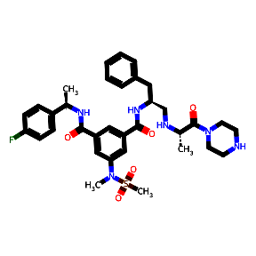 C[C@H](NC[C@H](Cc1ccccc1)NC(=O)c1cc(C(=O)N[C@H](C)c2ccc(F)cc2)cc(N(C)S(C)(=O)=O)c1)C(=O)N1CCNCC1